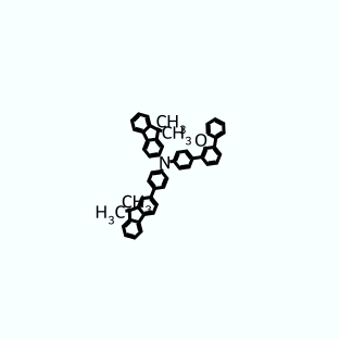 CC1(C)c2ccccc2-c2ccc(-c3ccc(N(c4ccc(-c5cccc6c5oc5ccccc56)cc4)c4ccc5c(c4)C(C)(C)c4ccccc4-5)cc3)cc21